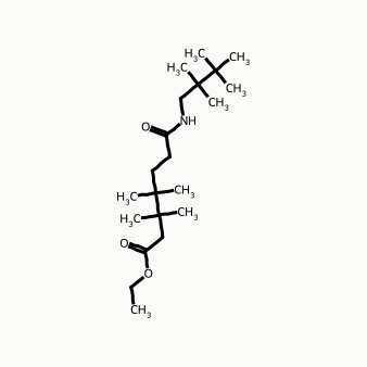 CCOC(=O)CC(C)(C)C(C)(C)CCC(=O)NCC(C)(C)C(C)(C)C